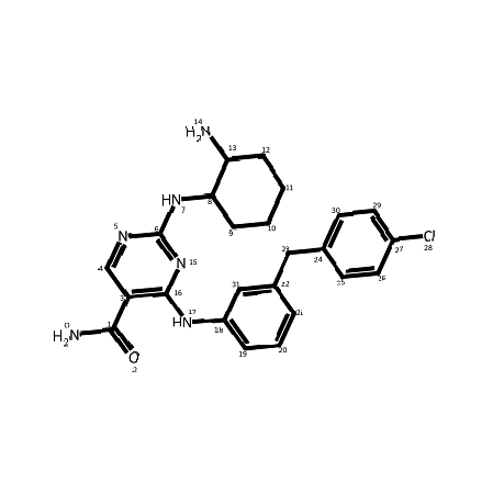 NC(=O)c1cnc(NC2CCCCC2N)nc1Nc1cccc(Cc2ccc(Cl)cc2)c1